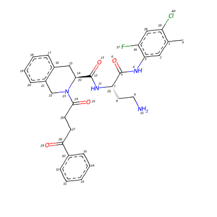 Cc1cc(NC(=O)[C@H](CCN)NC(=O)[C@@H]2Cc3ccccc3CN2C(=O)CCC(=O)c2ccccc2)c(F)cc1Cl